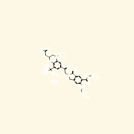 Br.CCOc1cc2c(cc1C(=O)NC)C(=N)N(CC(=O)c1cc3c(c(C(C)(C)C)c1)OC(CC(=O)O)CN3C)C2